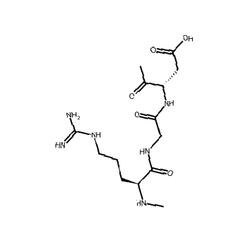 CN[C@@H](CCCNC(=N)N)C(=O)NCC(=O)N[C@@H](CC(=O)O)C(C)=O